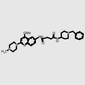 COc1cc(N2CCN(C)CC2)nc2ccc(NC(=O)CCC(=O)NC3CCN(Cc4ccccc4)CC3)cc12